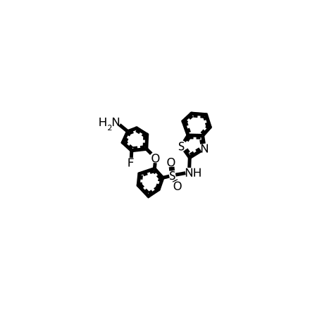 Nc1ccc(Oc2ccccc2S(=O)(=O)Nc2nc3ccccc3s2)c(F)c1